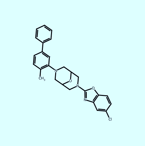 Cc1ccc(-c2ccccc2)[c]c1N1CC2CN(c3nc4cc(Cl)ccc4o3)CC(C1)O2